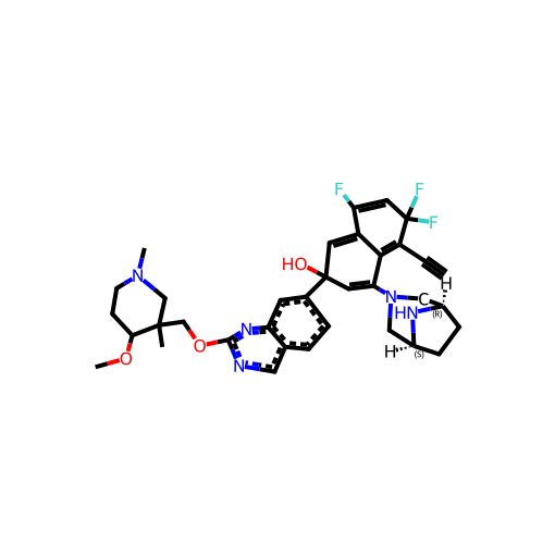 C#CC1=C2C(=CC(O)(c3ccc4cnc(OCC5(C)CN(C)CCC5OC)nc4c3)C=C2N2C[C@H]3CC[C@@H](C2)N3)C(F)=CC1(F)F